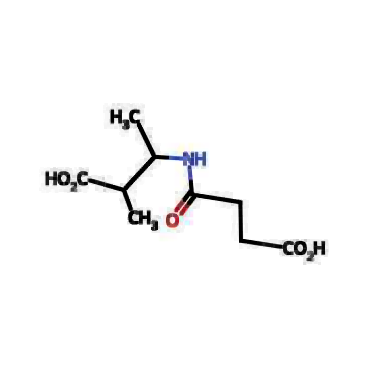 CC(NC(=O)CCC(=O)O)C(C)C(=O)O